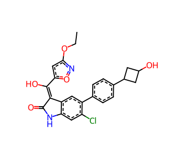 CCOc1cc(/C(O)=C2/C(=O)Nc3cc(Cl)c(-c4ccc(C5CC(O)C5)cc4)cc32)on1